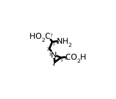 NC(CN1CC1C(=O)O)C(=O)O